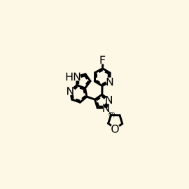 Fc1ccc(-c2nn([C@@H]3CCOC3)cc2-c2ccnc3[nH]ccc23)nc1